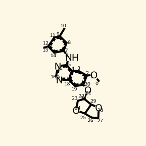 COc1cc2c(Nc3cc(C)cc(C)c3)ncnc2cc1O[C@@H]1COC2CCOC21